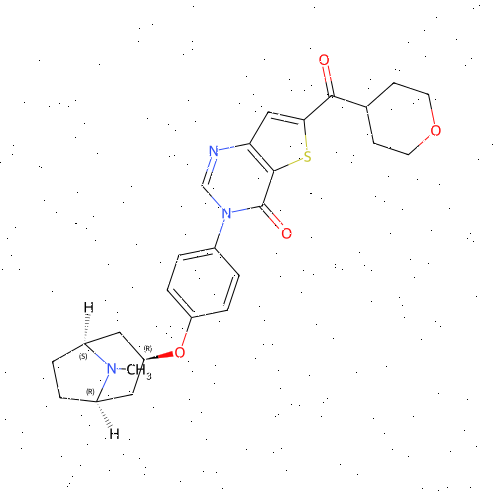 CN1[C@@H]2CC[C@H]1C[C@@H](Oc1ccc(-n3cnc4cc(C(=O)C5CCOCC5)sc4c3=O)cc1)C2